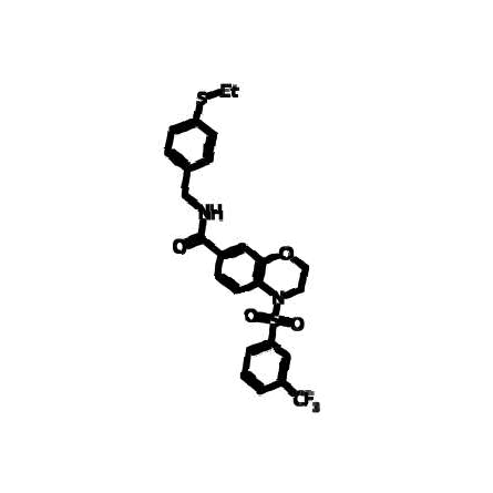 CCSc1ccc(CNC(=O)c2ccc3c(c2)OCCN3S(=O)(=O)c2cccc(C(F)(F)F)c2)cc1